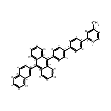 Cc1ccnc(-c2ccc(-c3ccc(-c4c5ccccc5c(-c5ccc6ccccc6c5)c5ccccc45)cc3)cc2)c1